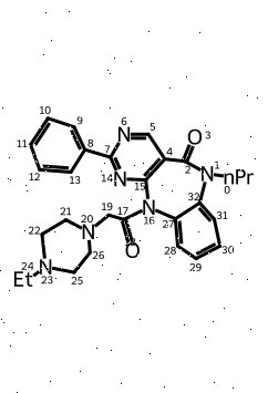 CCCN1C(=O)c2cnc(-c3ccccc3)nc2N(C(=O)CN2CCN(CC)CC2)c2ccccc21